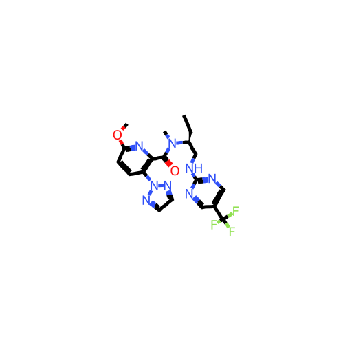 CC[C@@H](CNc1ncc(C(F)(F)F)cn1)N(C)C(=O)c1nc(OC)ccc1-n1nccn1